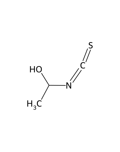 CC(O)N=C=S